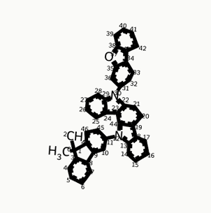 CC1(C)c2ccccc2-c2cc(-n3c4ccccc4c4ccc5c(c6ccccc6n5-c5ccc6c(c5)oc5ccccc56)c43)ccc21